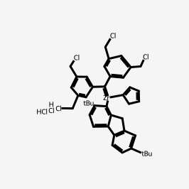 CC(C)(C)c1ccc2c(c1)Cc1c-2ccc(C(C)(C)C)[c]1[Zr]([C]1=CC=CC1)=[C](c1cc(CCl)cc(CCl)c1)c1cc(CCl)cc(CCl)c1.Cl.Cl